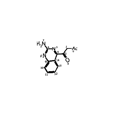 CC(=O)CC(=O)c1nc(N)nc2ccccc12